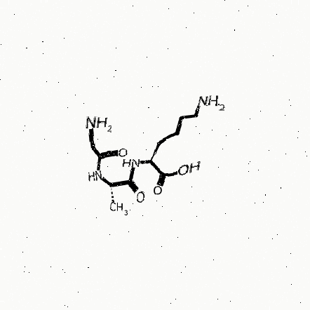 C[C@H](NC(=O)CN)C(=O)N[C@@H](CCCCN)C(=O)O